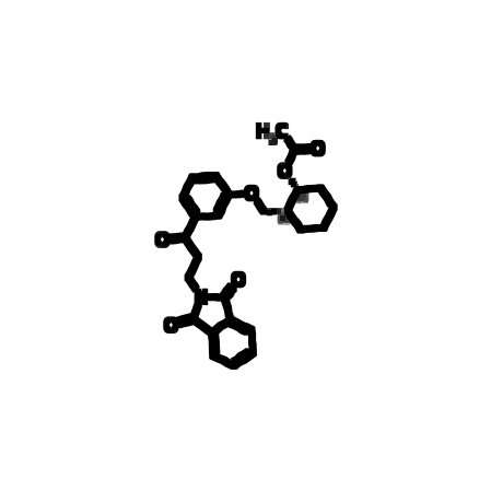 CC(=O)O[C@@H]1CCCC[C@@H]1COc1cccc(C(=O)CCN2C(=O)c3ccccc3C2=O)c1